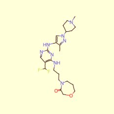 Cc1nn(C2CCN(C)CC2)cc1Nc1ncc(C(F)F)c(NCCCN2CCCOCC2=O)n1